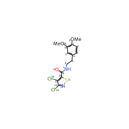 COc1ccc(CCNC(=O)c2snc(Cl)c2Cl)cc1OC